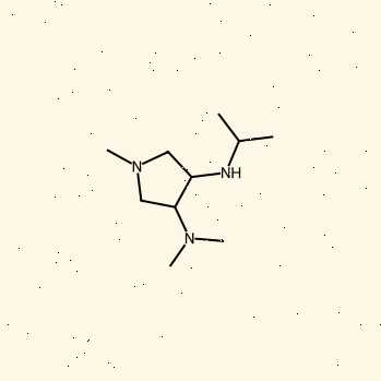 CC(C)NC1CN(C)CC1N(C)C